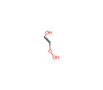 OC=COO